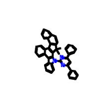 CC1(C)c2ccc3ccccc3c2-c2c1c1c(c3ccccc23)c2ccccc2n1-c1nc(-c2ccccc2)cc(-c2ccccc2)n1